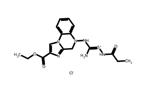 CCOC(=O)c1cn2c(n1)CN(N/C(N)=[S+]/NC(=O)CC)c1ccccc1-2.[Cl-]